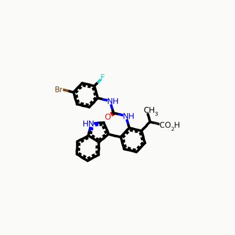 CC(C(=O)O)c1cccc(-c2c[nH]c3ccccc23)c1NC(=O)Nc1ccc(Br)cc1F